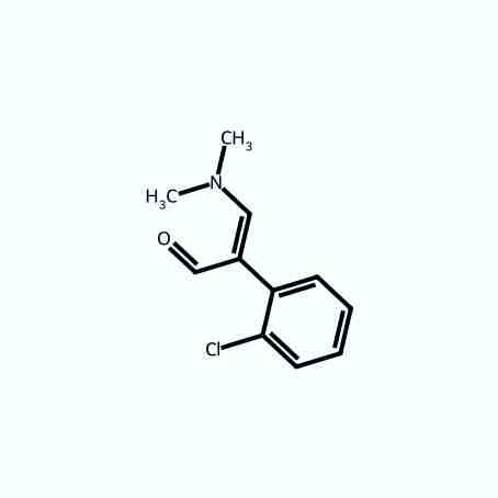 CN(C)C=C(C=O)c1ccccc1Cl